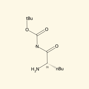 CCCC[C@H](N)C(=O)[N]C(=O)OC(C)(C)C